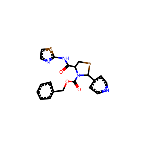 O=C(Nc1nccs1)C1CSC(c2ccncc2)N1C(=O)OCc1ccccc1